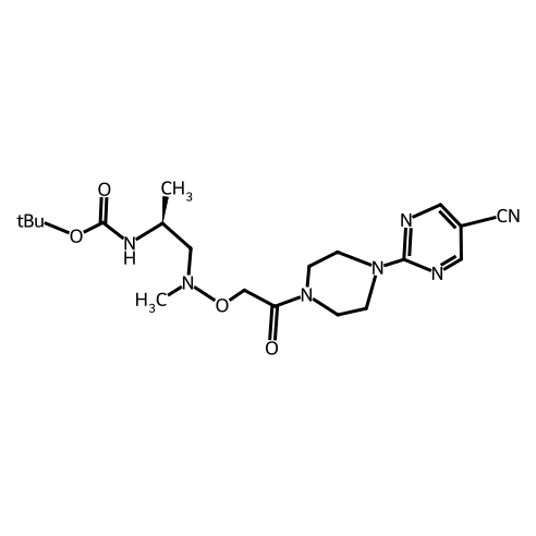 C[C@@H](CN(C)OCC(=O)N1CCN(c2ncc(C#N)cn2)CC1)NC(=O)OC(C)(C)C